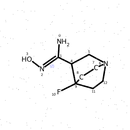 N/C(=N\O)C1CN2CCC1(F)CC2